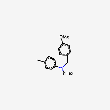 CCCCCCN(Cc1ccc(OC)cc1)c1ccc(C)cc1